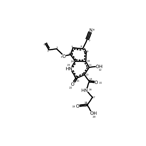 C=CCOc1cc(C#N)cc2c(O)c(C(=O)NCC(=O)O)c(=O)[nH]c12